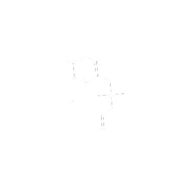 C=CC[N+](C)(C)Cc1ccc(Cl)cc1Cl.[Cl-]